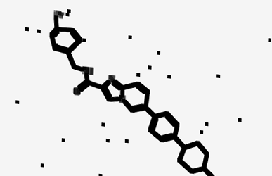 CCOC(=O)CC1CCC(c2ccc(-c3ccc4nc(C(=O)NCc5ccc(C(C)C)cc5)cn4c3)cc2)CC1